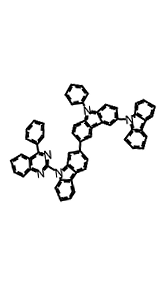 c1ccc(-c2nc(-n3c4ccccc4c4ccc(-c5ccc6c(c5)c5cc(-n7c8ccccc8c8ccccc87)ccc5n6-c5ccccc5)cc43)nc3ccccc23)cc1